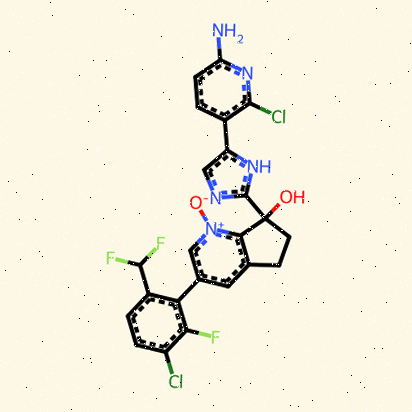 Nc1ccc(-c2cnc(C3(O)CCc4cc(-c5c(C(F)F)ccc(Cl)c5F)c[n+]([O-])c43)[nH]2)c(Cl)n1